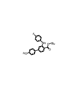 CC(C)(C)OC(=O)c1ccc(-c2ccc(O)cc2)cc1Nc1ccc(F)cc1